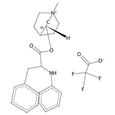 C[N+]12CCC(CC1)[C@@H](OC(=O)C(Cc1ccccc1)Nc1ccccc1)C2.O=C([O-])C(F)(F)F